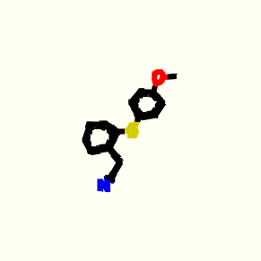 COc1ccc(Sc2ccccc2CC#N)cc1